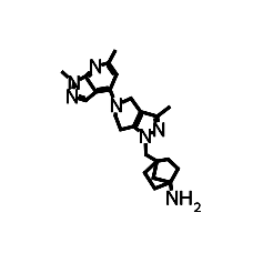 Cc1cc(N2CCc3c(c(C)nn3CC34CCC(N)(CC3)C4)C2)c2cnn(C)c2n1